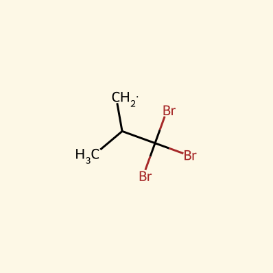 [CH2]C(C)C(Br)(Br)Br